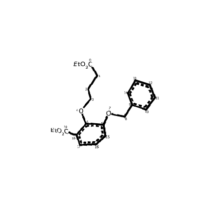 CCOC(=O)CCCOc1c(OCc2ccccc2)cccc1C(=O)OCC